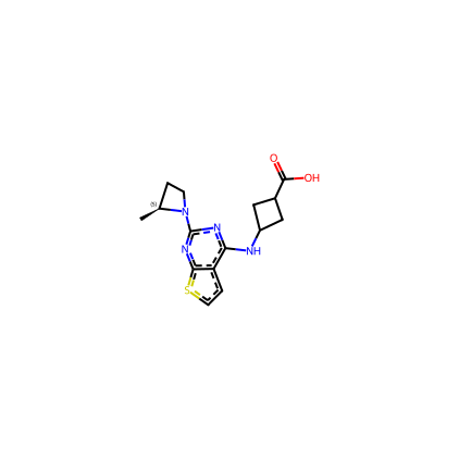 C[C@H]1CCN1c1nc(NC2CC(C(=O)O)C2)c2ccsc2n1